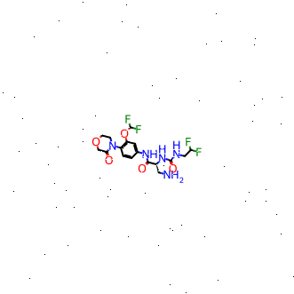 NC[C@H](NC(=O)NCC(F)F)C(=O)Nc1ccc(N2CCOCC2=O)c(OC(F)F)c1